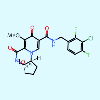 COc1c2n(cc(C(=O)NCc3ccc(F)c(Cl)c3F)c1=O)[C@H]1CCC[C@]13OCCN3C2=O